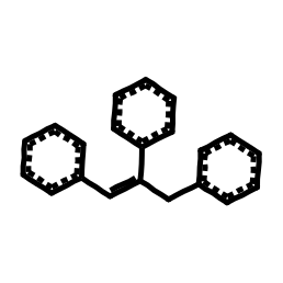 C(=C(Cc1ccccc1)c1ccccc1)c1ccccc1